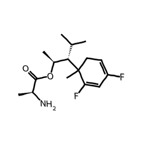 CC(C)[C@@H]([C@H](C)OC(=O)[C@H](C)N)C1(C)CC=C(F)C=C1F